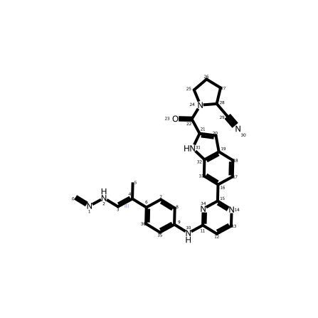 C=NN/C=C(\C)c1ccc(Nc2ccnc(-c3ccc4cc(C(=O)N5CCCC5C#N)[nH]c4c3)n2)cc1